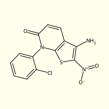 Nc1c([N+](=O)[O-])sc2c1ccc(=O)n2-c1ccccc1Cl